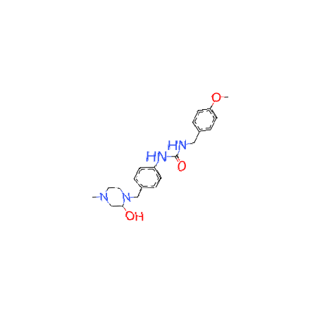 COc1ccc(CNC(=O)Nc2ccc(CN3CCN(C)CC3O)cc2)cc1